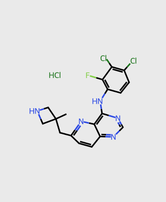 CC1(Cc2ccc3ncnc(Nc4ccc(Cl)c(Cl)c4F)c3n2)CNC1.Cl